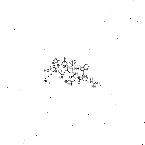 N=C(N)NCCC[C@H](N)C(=O)N[C@@H](Cc1c[nH]cn1)C(=O)N[C@@H](CC(=O)O)C(=O)N[C@@H](Cc1c[nH]c2ccccc12)C(=O)NCC(=O)N[C@@H](Cc1c[nH]cn1)C(=O)N[C@@H](CCC(=O)O)C(=O)N[C@@H](CCCCN)C(=O)O